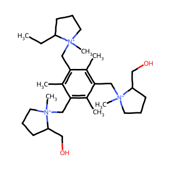 CCC1CCC[N+]1(C)Cc1c(C)c(C[N+]2(C)CCCC2CO)c(C)c(C[N+]2(C)CCCC2CO)c1C